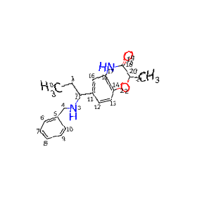 CCC(NCc1ccccc1)c1ccc2c(c1)NC(=O)C(C)O2